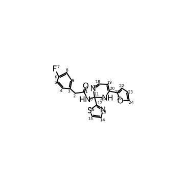 O=C(Cc1ccc(F)cc1)NC1(c2nccs2)N=CC=C(c2ccco2)N1